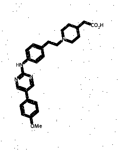 COc1ccc(-c2cnc(Nc3ccc(CCN4CCC(CC(=O)O)CC4)cc3)nc2)cc1